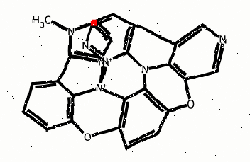 Cn1c2[n+](c3ccccc31)[N+]13c4c(cccc4-2)Oc2ccc4c(c21)-n1c2c(cncc2c2ccn[n+]3c21)O4